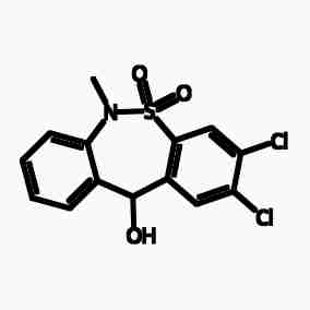 CN1c2ccccc2C(O)c2cc(Cl)c(Cl)cc2S1(=O)=O